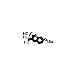 CC(C)(C)Sc1ccc2cc(C(O)O)c(C(=O)O)nc2c1